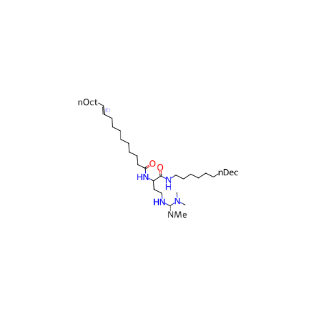 CCCCCCCC/C=C/CCCCCCCCC(=O)NC(CCNC(NC)N(C)C)C(=O)NCCCCCCCCCCCCCCCC